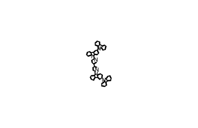 c1ccc2c(c1)c1ccccc1n2-c1ccc2c(c1)c1ccccc1n2-c1ccc(-c2ccc(-n3c4ccccc4c4cc(-n5c6ccccc6c6ccccc65)ccc43)nc2)cn1